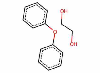 OCCO.c1ccc(Oc2ccccc2)cc1